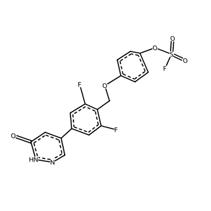 O=c1cc(-c2cc(F)c(COc3ccc(OS(=O)(=O)F)cc3)c(F)c2)cn[nH]1